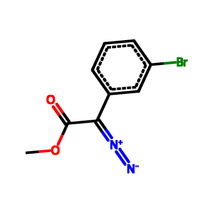 COC(=O)C(=[N+]=[N-])c1cccc(Br)c1